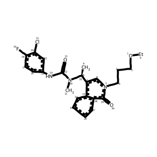 CCOCCCn1cc([C@H](C)N(C)C(=O)Nc2ccc(F)c(Cl)c2)c2ccccc2c1=O